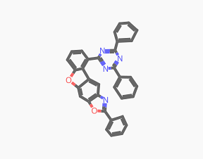 c1ccc(-c2nc(-c3ccccc3)nc(-c3cccc4oc5cc6oc(-c7ccccc7)nc6cc5c34)n2)cc1